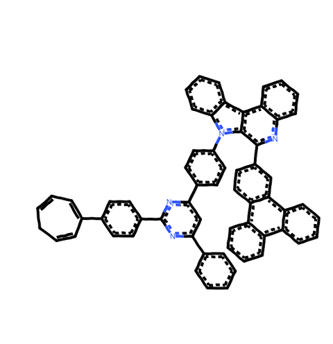 C1=CCC=CC(c2ccc(-c3nc(-c4ccccc4)cc(-c4ccc(-n5c6ccccc6c6c7ccccc7nc(-c7ccc8c9ccccc9c9ccccc9c8c7)c65)cc4)n3)cc2)=C1